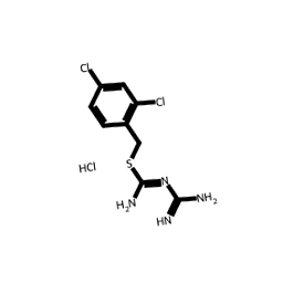 Cl.N=C(N)N=C(N)SCc1ccc(Cl)cc1Cl